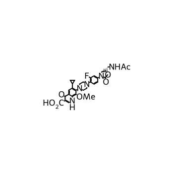 COc1c(N2CCN(c3ccc(N4C[C@H](CNC(C)=O)OC4=O)cc3F)CC2)c(C2CC2)cc2c(=O)c(C(=O)O)c[nH]c12